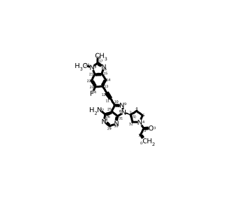 C=CC(=O)N1CC[C@H](n2nc(C#Cc3cc4nc(C)n(C)c4cc3F)c3c(N)ncnc32)C1